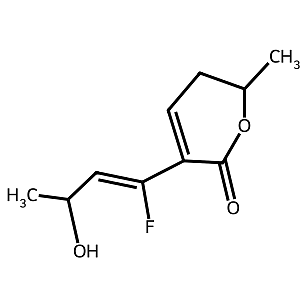 CC(O)/C=C(\F)C1=CCC(C)OC1=O